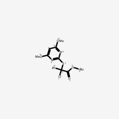 CCCCOC(=O)C(Cl)(Sc1nc(OC)cc(OC)n1)C(C)C